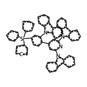 c1ccc([Si](c2ccccc2)(c2ccccc2)c2ccc(-c3cc(-n4c5ccccc5c5ccccc54)nc(-n4c5ccccc5c5ccccc54)c3)c(-n3c4ccccc4c4ccccc43)c2)cc1